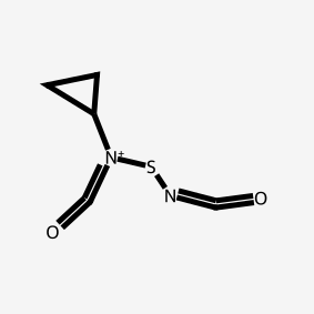 O=C=NS[N+](=C=O)C1CC1